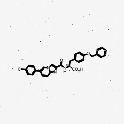 O=C(N[C@@H](Cc1ccc(OCc2ccccc2)cc1)C(=O)O)c1cn2cc(-c3ccc(Cl)cc3)ccc2n1